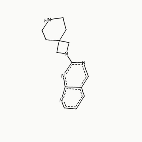 c1cnc2nc(N3CC4(CCNCC4)C3)ncc2c1